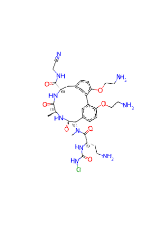 C[C@@H]1NC(=O)[C@@H](N(C)C(=O)[C@H](CCN)NC(=O)NCl)c2ccc(OCCN)c(c2)-c2cc(ccc2OCCN)C[C@@H](C(=O)NCC#N)NC1=O